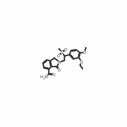 CCOc1cc(C(CN2Cc3cccc(C(N)=O)c3C2=O)S(C)(=O)=O)ccc1OC